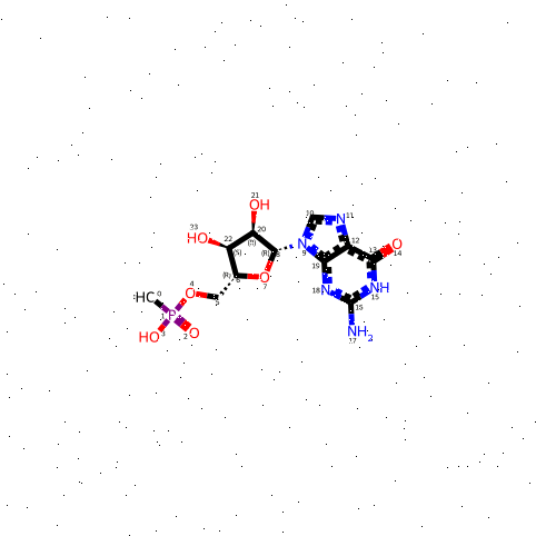 [CH]P(=O)(O)OC[C@H]1O[C@@H](n2cnc3c(=O)[nH]c(N)nc32)[C@H](O)[C@@H]1O